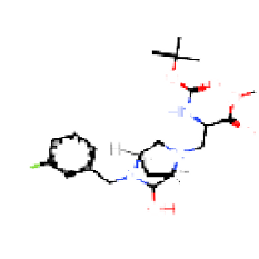 COC(=O)C(CN1C[C@@H]2C[C@H]1C(O)N2Cc1cccc(F)c1)NC(=O)OC(C)(C)C